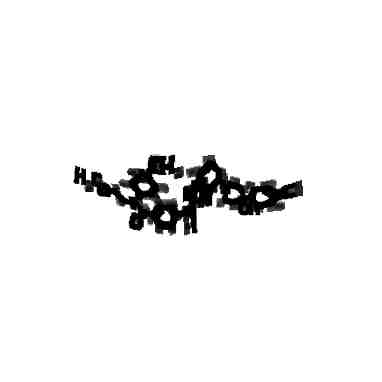 COCCN(C(=O)c1ccc(Nc2nc3c(N4CCC(O)(c5ccc(Cl)cc5)CC4)cccn3n2)cc1)C1CCN(C)CC1